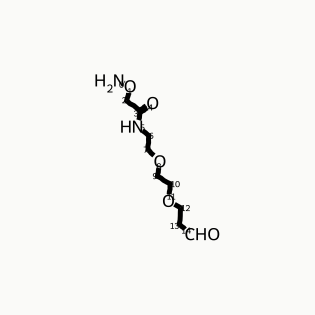 NOCC(=O)NCCOCCOCCC=O